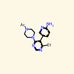 CCc1ncnc(N2CCN(C(C)=O)CC2)c1-c1ccc(N)nc1